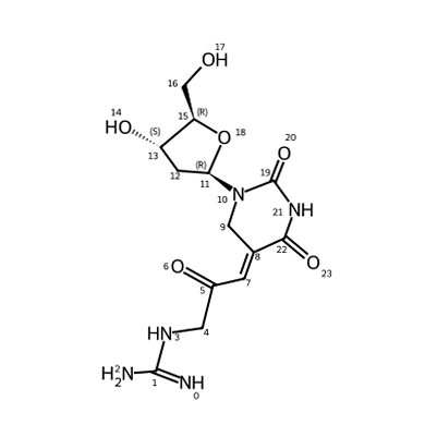 N=C(N)NCC(=O)C=C1CN([C@H]2C[C@H](O)[C@@H](CO)O2)C(=O)NC1=O